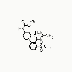 CC(C)(C)OC(=O)NC1CCN(c2cccc(S(C)(=O)=O)c2C(=O)N=C(N)N)CC1